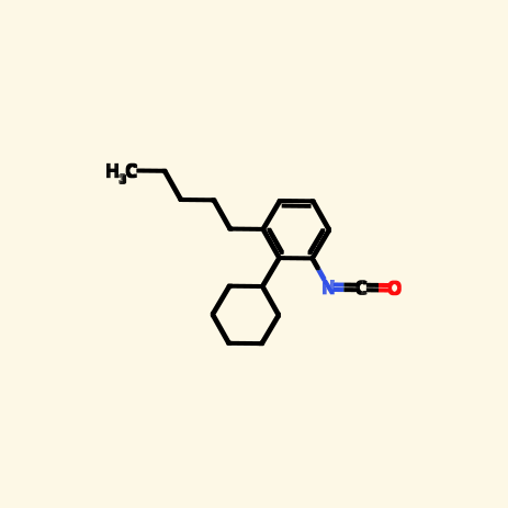 CCCCCc1cccc(N=C=O)c1C1CCCCC1